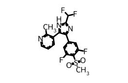 Cc1ncccc1-c1[nH]c(C(F)F)nc1-c1cc(F)c(S(C)(=O)=O)c(F)c1